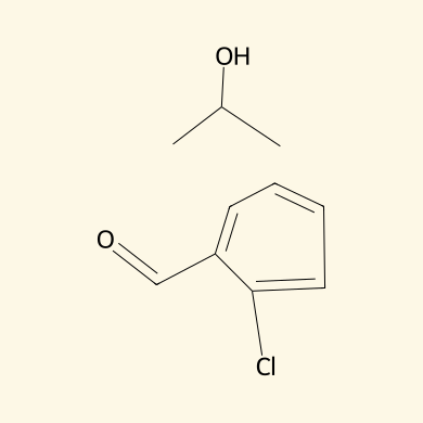 CC(C)O.O=Cc1ccccc1Cl